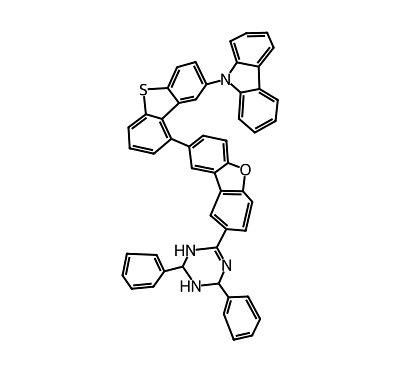 c1ccc(C2N=C(c3ccc4oc5ccc(-c6cccc7sc8ccc(-n9c%10ccccc%10c%10ccccc%109)cc8c67)cc5c4c3)NC(c3ccccc3)N2)cc1